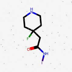 O=C(CC1(F)CCNCC1)NI